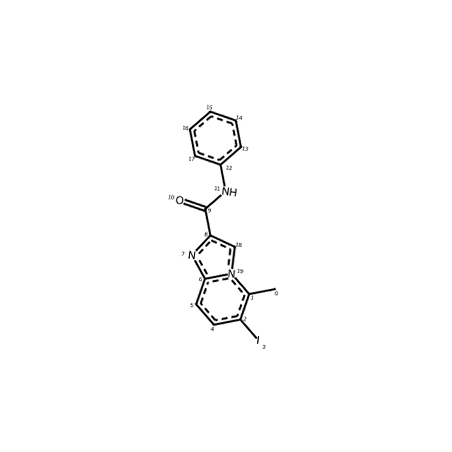 Cc1c(I)ccc2nc(C(=O)Nc3ccccc3)cn12